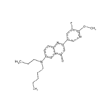 CCCCCN(CCC)c1ccc2nc(-c3cnc(OC)c(F)c3)cc(=O)n2c1